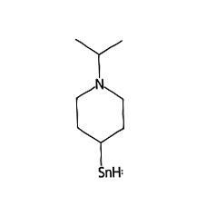 CC(C)N1CC[CH]([SnH])CC1